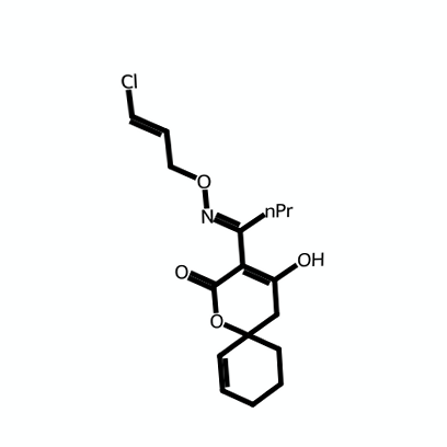 CCCC(=NOCC=CCl)C1=C(O)CC2(C=CCCC2)OC1=O